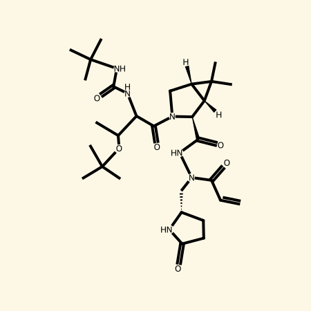 C=CC(=O)N(C[C@@H]1CCC(=O)N1)NC(=O)[C@@H]1[C@@H]2[C@H](CN1C(=O)C(NC(=O)NC(C)(C)C)C(C)OC(C)(C)C)C2(C)C